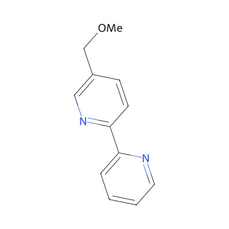 COCc1ccc(-c2ccccn2)nc1